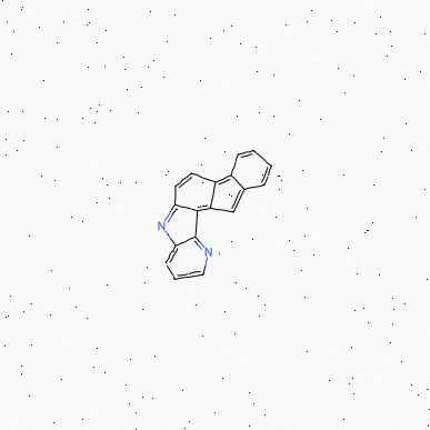 C1=c2ccccc2=c2ccc3c(c21)-c1ncccc1N=3